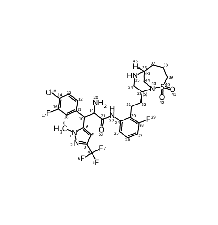 Cn1nc(C(F)(F)F)cc1C(c1ccc(Cl)c(F)c1)C(N)C(=O)Nc1cccc(F)c1CC[C@H]1CN[C@@H]2CCCS(=O)(=O)N1C2